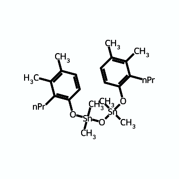 CCCc1c([O][Sn]([CH3])([CH3])[O][Sn]([CH3])([CH3])[O]c2ccc(C)c(C)c2CCC)ccc(C)c1C